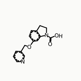 O=C(O)N1CCc2ccc(OCc3cccnc3)cc21